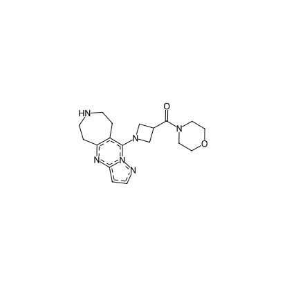 O=C(C1CN(c2c3c(nc4ccnn24)CCNCC3)C1)N1CCOCC1